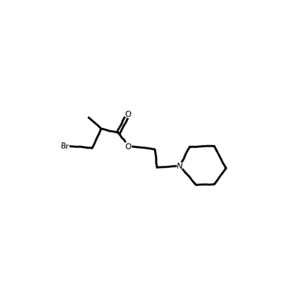 CC(CBr)C(=O)OCCN1CCCCC1